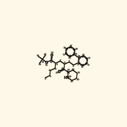 CCCCC(CC(CCc1ccccc1-c1ccccc1)C(=O)N1CCCCN1)C(=O)OC(C)(C)C